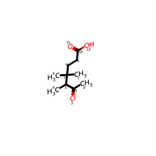 CC(=O)C(C)C(C)(C)CCC(=O)O